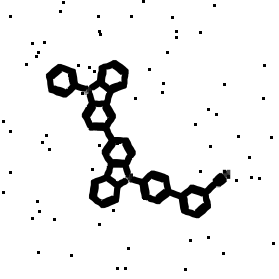 N#Cc1cccc(-c2ccc(N3c4ccc(-c5ccc6c(c5)c5ccccc5n6-c5ccccc5)cc4C4C=CC=CC43)cc2)c1